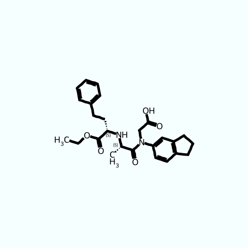 CCOC(=O)[C@H](CCc1ccccc1)N[C@@H](C)C(=O)N(CC(=O)O)c1ccc2c(c1)CCC2